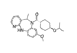 COc1ccc2c(c1)N(C(=O)[C@H]1CC[C@H](OC(C)C)CC1)C(C)c1cccnc1N2